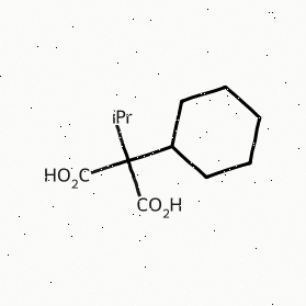 CC(C)C(C(=O)O)(C(=O)O)C1CCCCC1